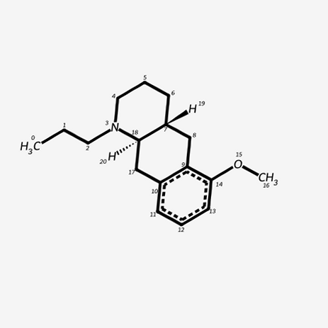 CCCN1CCC[C@@H]2Cc3c(cccc3OC)C[C@H]21